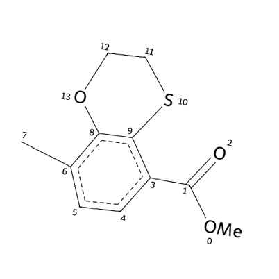 COC(=O)c1ccc(C)c2c1SCCO2